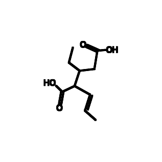 CC=CC(C(=O)O)C(CC)CC(=O)O